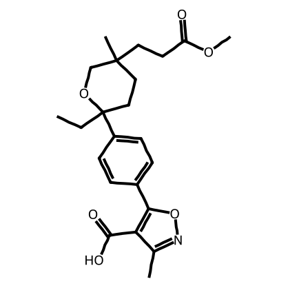 CCC1(c2ccc(-c3onc(C)c3C(=O)O)cc2)CCC(C)(CCC(=O)OC)CO1